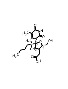 CCCC[Si](C)(C)[C@]1(n2cc(C)c(=O)[nH]c2=O)CC(CC(=O)O)[C@@H](CO)O1